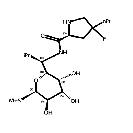 CCCC1(F)CN[C@H](C(=O)N[C@H](C(C)C)[C@H]2O[C@H](SC)[C@H](O)[C@@H](O)[C@H]2O)C1